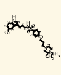 C[C@H]1CN(CCCOc2ccc(S(=O)(=O)NCCCc3c[nH]c4ccc(Cl)cc34)cc2)CCN1C